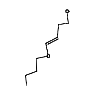 CCCCOC=CCC[O]